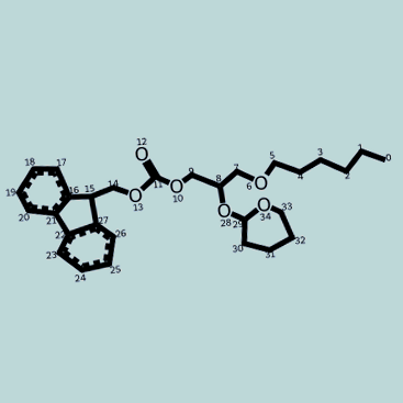 CCCCCCOCC(COC(=O)OCC1c2ccccc2-c2ccccc21)OC1CCCCO1